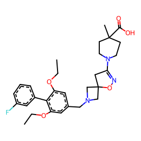 CCOc1cc(CN2CC3(CC(N4CCC(C)(C(=O)O)CC4)=NO3)C2)cc(OCC)c1-c1cccc(F)c1